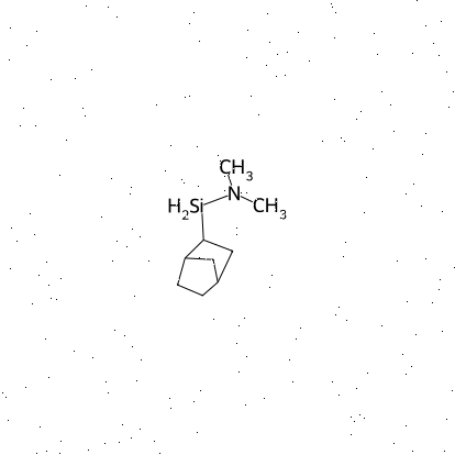 CN(C)[SiH2]C1CC2CCC1C2